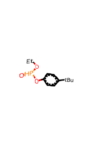 CCO[PH](=O)Oc1ccc(C(C)(C)C)cc1